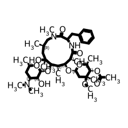 CO[C@]1(C)C[C@H](O[C@H]2[C@H](C)[C@@H](O[C@@H]3O[C@H](C)C[C@H](N(C)C)[C@H]3O)[C@](C)(O)C[C@@H](C)CN(C)C(=O)C(Cc3ccccc3)NC(=O)[C@@H]2C)O[C@@H](C)[C@@H]1OC(C)=O